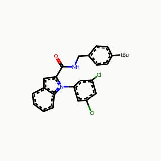 CC(C)(C)c1ccc(CNC(=O)c2cc3ccccc3n2-c2cc(Cl)cc(Cl)c2)cc1